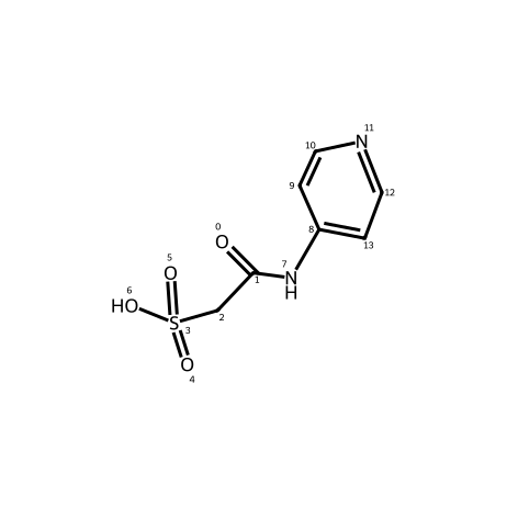 O=C(CS(=O)(=O)O)Nc1ccncc1